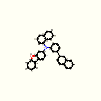 c1cc(-c2ccc3ccccc3c2)cc(N(c2ccc3c(c2)oc2ccccc23)c2cccc3ccccc23)c1